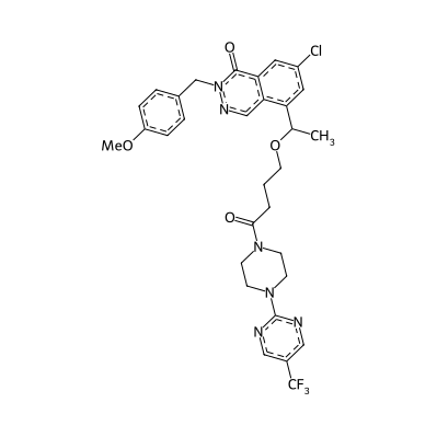 COc1ccc(Cn2ncc3c(C(C)OCCCC(=O)N4CCN(c5ncc(C(F)(F)F)cn5)CC4)cc(Cl)cc3c2=O)cc1